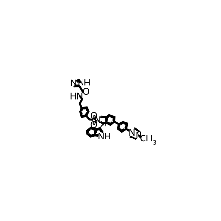 CN1CCN(c2ccc(-c3ccc4c(c3)[C@H](c3c[nH]c5ccccc35)N(S(=O)(=O)Cc3ccc(CCNC(=O)c5cnc[nH]5)cc3)C4)cc2)CC1